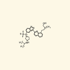 CC(C)N[C@H]1CCN([C@H](c2ccc3nnc(-c4ccc5cccc(CC[C@H](C)CO)c5n4)n3c2)C(F)(F)F)C1